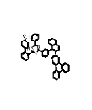 CC1C=CC(c2ccccc2C2=NC(c3cccc(-c4c(-c5ccc6c7ccccc7c7ccccc7c6c5)ccc5ccccc45)c3)=NC(c3ccccc3)N2)=CC1